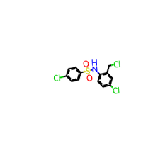 O=S(=O)(Nc1ccc(Cl)cc1CCl)c1ccc(Cl)cc1